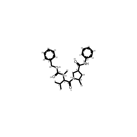 CC(C)C(C(=O)N1CC(C(=O)Nc2ccccc2)CC1C)N(C)C(=O)OCc1ccccc1